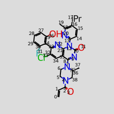 C=CC(=O)N1CCN(c2nc(=O)n(-c3ccc(C(C)C)c(C)n3)c3nc(-c4c(O)cccc4F)c(Cl)cc23)[C@@H](C)C1